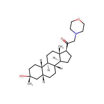 C[C@@]1(O)CC[C@H]2[C@H](CC[C@@H]3[C@@H]2CC[C@]2(C)[C@@H](C(=O)CN4CCOCC4)CC[C@@H]32)C1